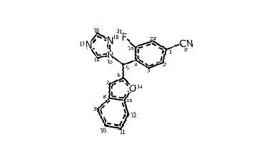 N#Cc1ccc(C(c2cc3ccccc3o2)n2cncn2)c(F)c1